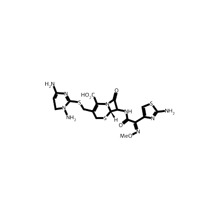 CO/N=C(\C(=O)NC1C(=O)N2C(C(=O)O)=C(CSC3=NC(N)=CCN3N)CS[C@@H]12)c1csc(N)n1